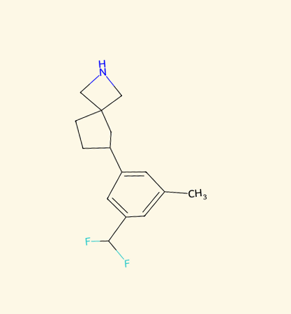 Cc1cc(C(F)F)cc(C2CCC3(CNC3)C2)c1